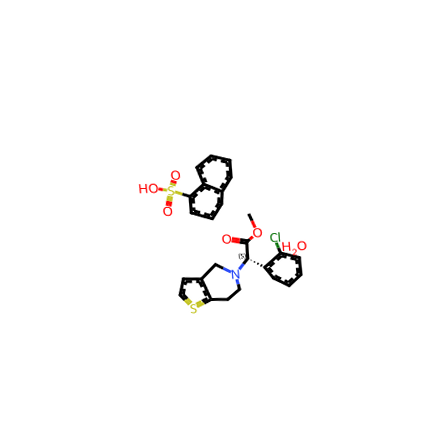 COC(=O)[C@H](c1ccccc1Cl)N1CCc2sccc2C1.O.O=S(=O)(O)c1cccc2ccccc12